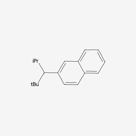 CC(C)[C](c1ccc2ccccc2c1)C(C)(C)C